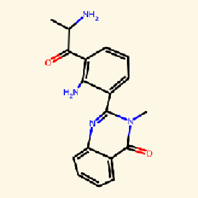 CC(N)C(=O)c1cccc(-c2nc3ccccc3c(=O)n2C)c1N